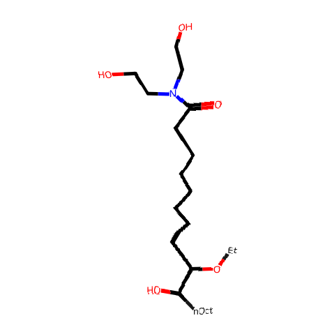 CCCCCCCCC(O)C(CCCCCCCC(=O)N(CCO)CCO)OCC